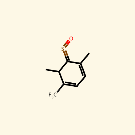 CC1=CC=C(C(F)(F)F)C(C)C1=S=O